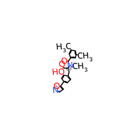 Cc1cc(C)cc(C(=O)N(C)[C@@H](Cc2ccc(-c3ccno3)cc2)C(=O)O)c1